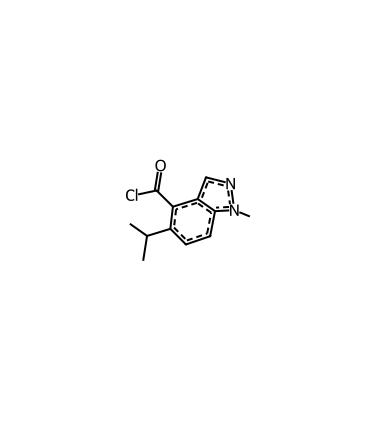 CC(C)c1ccc2c(cnn2C)c1C(=O)Cl